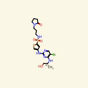 C[C@H](CO)Nc1nc(Nc2csc(S(=O)(=O)NCCCN3CCCC3=O)c2)ncc1Br